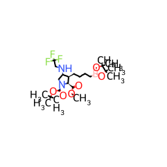 COC(=O)[C@@H]1[C@H](CCCCB2OC(C)(C)C(C)(C)O2)[C@@H](NCC(F)(F)F)CN1C(=O)OC(C)(C)C